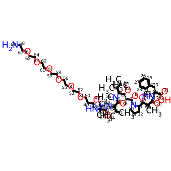 CC[C@H](C)[C@@H]([C@@H](CC(=O)N1CCCC1[C@H](OC)[C@@H](C)C(=O)N[C@@H](Cc1ccccc1)C(=O)O)OC)N(C)C(=O)[C@@H](NC(=O)C(C)(C)NC(=O)CCOCCOCCOCCOCCOCCOCCN)C(C)C